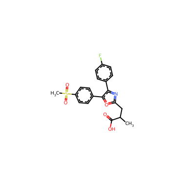 CC(Cc1nc(-c2ccc(F)cc2)c(-c2ccc(S(C)(=O)=O)cc2)o1)C(=O)O